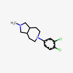 CN1CC2CCN(c3ccc(Cl)c(Cl)c3)CCC2C1